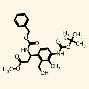 COC(=O)CC(NC(=O)OCc1ccccc1)c1ccc(NC(=O)OC(C)(C)C)c(C)c1CO